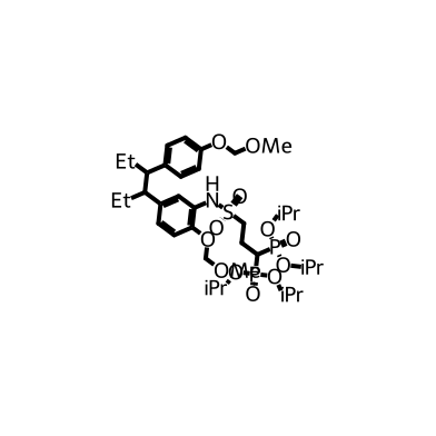 CCC(c1ccc(OCOC)cc1)C(CC)c1ccc(OCOC)c(NS(=O)(=O)CCC(P(=O)(OC(C)C)OC(C)C)P(=O)(OC(C)C)OC(C)C)c1